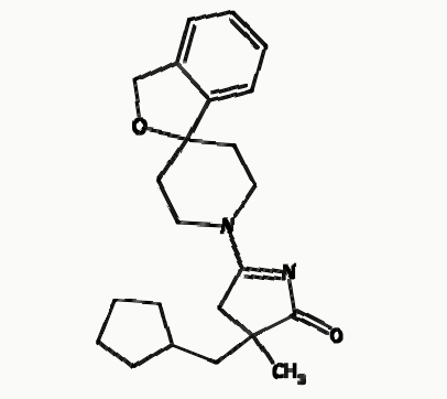 CC1(CC2CCCC2)CC(N2CCC3(CC2)OCc2ccccc23)=NC1=O